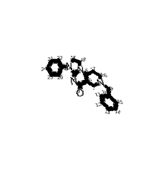 O=c1nc2n(c3c1CN(Cc1ccccc1)CC3)CCN2c1ccccc1